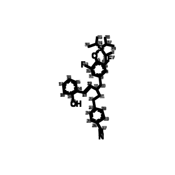 CC(C)[Si](Oc1c(F)cc(CC(C=Cc2ccccc2O)CCc2ccc(C#N)cc2)cc1F)(C(C)C)C(C)C